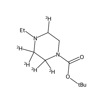 [2H]C1CN(C(=O)OC(C)(C)C)C([2H])([2H])C([2H])([2H])N1CC